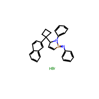 Br.C1=CS(=Nc2ccccc2)N(c2ccccc2)C1C1(c2ccc3ccccc3c2)CCC1